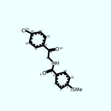 CSc1ccc(C(=O)NCC(=O)c2ccc(Cl)cc2)cc1